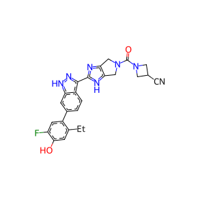 CCc1cc(O)c(F)cc1-c1ccc2c(-c3nc4c([nH]3)CN(C(=O)N3CC(C#N)C3)C4)n[nH]c2c1